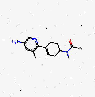 Cc1cc(N)cnc1C1=CCC(N(C)C(=O)C(C)C)CC1